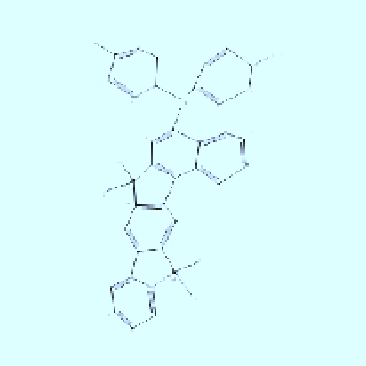 CC(C)(C)C1=CCC(N(C2=CCC(C(C)(C)C)C=C2)c2cc3c(c4ccccc24)-c2cc4c(cc2C3(C)C)-c2ccccc2C4(C)C)C=C1